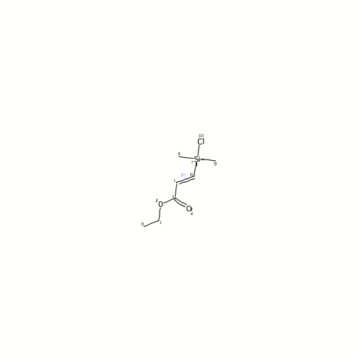 CCOC(=O)/C=C/[Si](C)(C)Cl